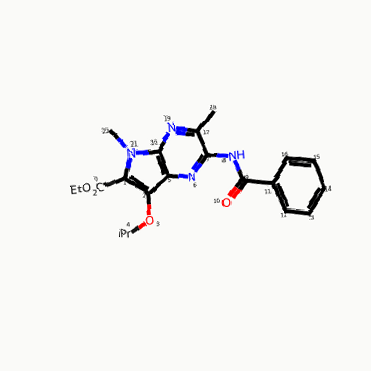 CCOC(=O)c1c(OC(C)C)c2nc(NC(=O)c3ccccc3)c(C)nc2n1C